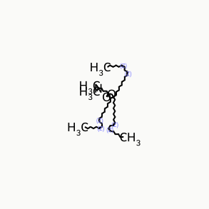 CCCCC/C=C\C/C=C\CCCCCCCCC(CCCCCCCC/C=C\C/C=C\CCCCC)(CCCCCCCC/C=C\C/C=C\CCCCC)OC(=O)CCCN(C)C